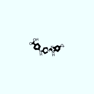 COc1ccc2[nH]c(N3CCC(Nc4ccc(C(=O)O)cc4)CC3)nc2c1